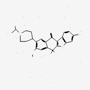 COc1cc2c(cc1C1CCN(C(C)C)CC1)C(=O)c1c([nH]c3cc(N)ccc13)C2(C)C